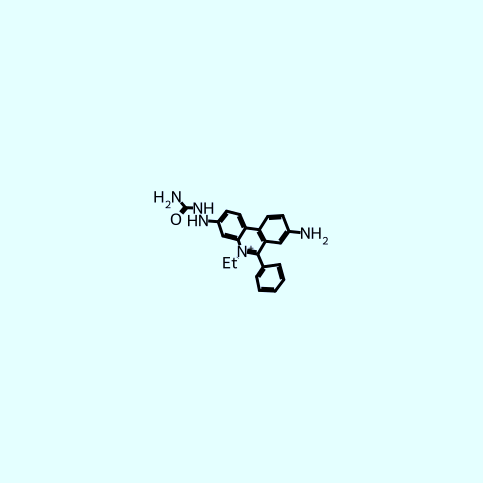 CC[n+]1c(-c2ccccc2)c2cc(N)ccc2c2ccc(NNC(N)=O)cc21